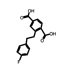 O=C(O)c1ccc(C(=O)O)c(CCc2ccc(F)cc2)c1